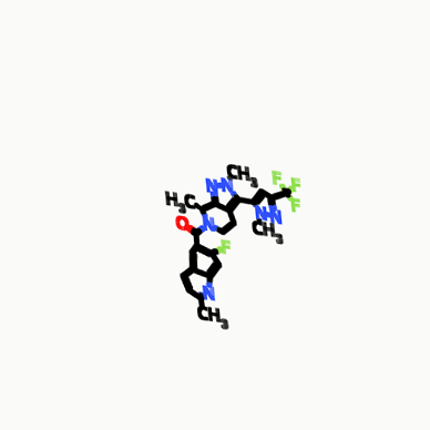 Cc1ccc2cc(C(=O)N3CCc4c(nn(C)c4-c4cc(C(F)(F)F)nn4C)[C@@H]3C)c(F)cc2n1